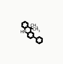 CC1(C)c2ccccc2Nc2ccc(-c3ccccc3)cc21